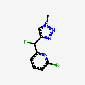 Cn1cc(C(F)c2cccc(Br)n2)nn1